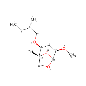 CC[C@H](C)CO[C@H]1C[C@@H](OC)C2OC[C@H]1O2